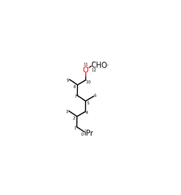 CC(C)CC(C)CC(C)CC(C)CO[C]=O